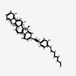 CCCCCCCCc1ccc(C#Cc2ccc3c4ccc5c(ccc6c7ccccc7sc65)c4n(C)c3c2)cc1